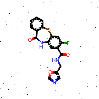 O=C(NCc1cnco1)c1cc2c(cc1F)Sc1ccccc1C(=O)N2